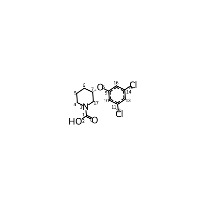 O=C(O)N1CCC[C@H](Oc2cc(Cl)cc(Cl)c2)C1